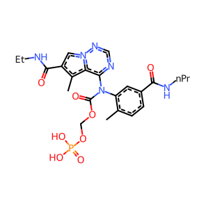 CCCNC(=O)c1ccc(C)c(N(C(=O)OCOP(=O)(O)O)c2ncnn3cc(C(=O)NCC)c(C)c23)c1